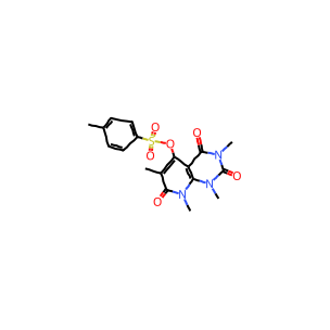 Cc1ccc(S(=O)(=O)Oc2c(C)c(=O)n(C)c3c2c(=O)n(C)c(=O)n3C)cc1